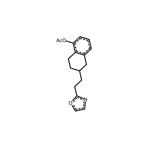 CC(=O)Oc1cccc2c1CCC(CCc1ncco1)C2